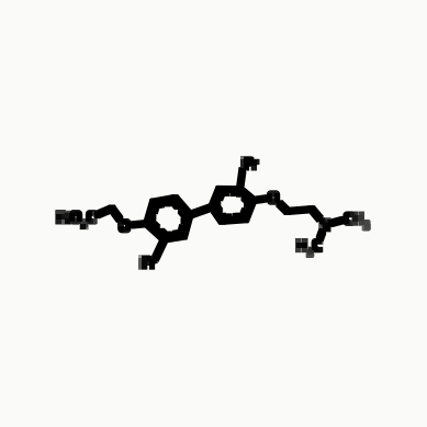 CCOC(=O)COc1ccc(-c2ccc(OCCN(C)C)c(C(C)C)c2)cc1C(C)C